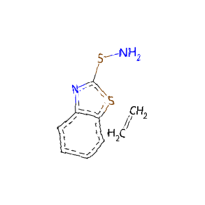 C=C.NSc1nc2ccccc2s1